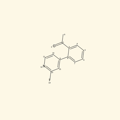 CC(=O)c1ccccc1-c1ccnc(F)c1